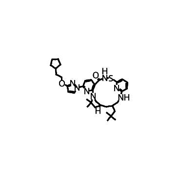 CC(C)(C)CC1CNc2cccc(n2)SNC(=O)c2ccc(-n3ccc(OCCC4CCCC4)n3)nc2N2C[C@@H](C1)CC2(C)C